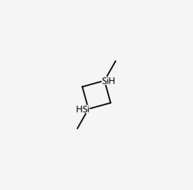 C[SiH]1C[SiH](C)C1